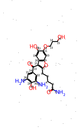 NC(=O)CCCCc1oc2cc(OCCCO)c(O)cc2c1C(=O)c1cc(N)c(O)c(N)c1